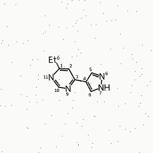 CCc1cc(-c2cn[nH]c2)ncn1